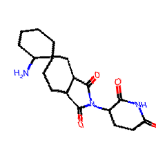 NC1CCCCC12CCC1C(=O)N(C3CCC(=O)NC3=O)C(=O)C1C2